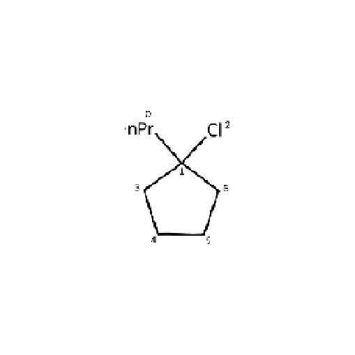 CC[CH]C1(Cl)CCCC1